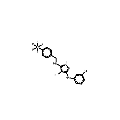 N#Cc1c(Nc2cccc(Cl)c2)n[nH]c1NCc1ccc(S(F)(F)(F)(F)F)cc1